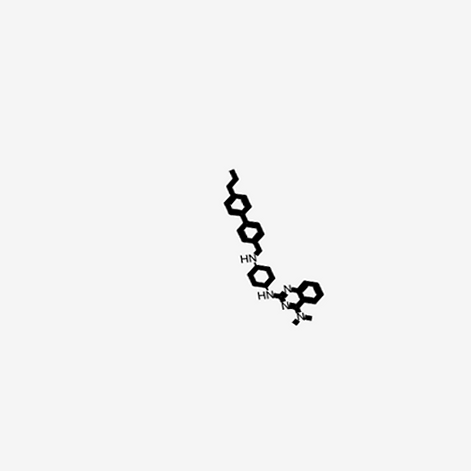 CCCc1ccc(-c2ccc(CN[C@H]3CC[C@@H](Nc4nc(N(C)C)c5ccccc5n4)CC3)cc2)cc1